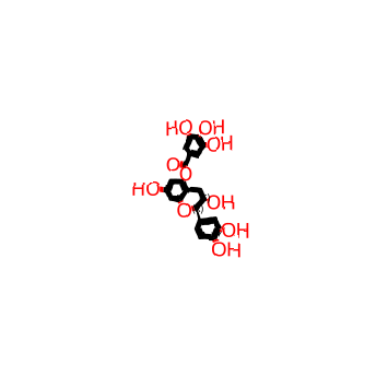 O=C(Oc1cc(O)cc2c1C[C@H](O)[C@@H](c1ccc(O)c(O)c1)O2)c1cc(O)c(O)c(O)c1